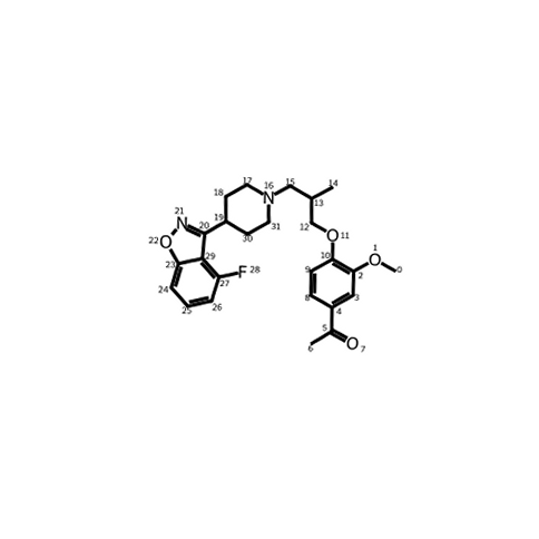 COc1cc(C(C)=O)ccc1OCC(C)CN1CCC(c2noc3cccc(F)c23)CC1